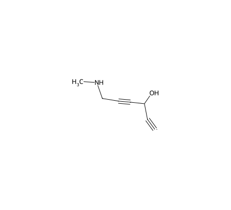 [C]#CC(O)C#CCNC